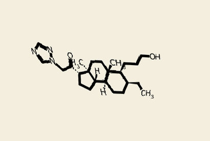 CC[C@H]1CC[C@H]2[C@@H]3CC[C@H](C(=O)Cn4cncn4)[C@@]3(C)CC[C@]2(C)[C@H]1CCCO